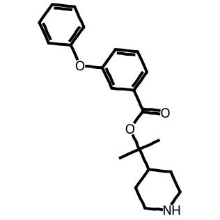 CC(C)(OC(=O)c1cccc(Oc2ccccc2)c1)C1CCNCC1